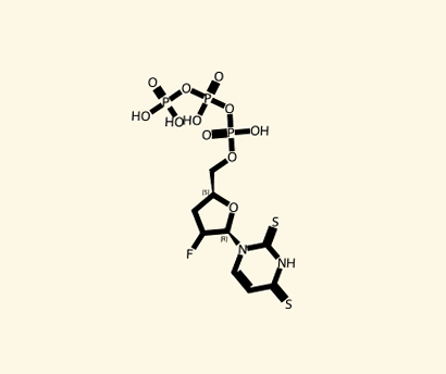 O=P(O)(O)OP(=O)(O)OP(=O)(O)OC[C@@H]1CC(F)[C@H](n2ccc(=S)[nH]c2=S)O1